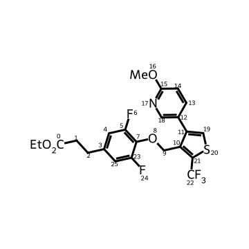 CCOC(=O)CCc1cc(F)c(OCc2c(-c3ccc(OC)nc3)csc2C(F)(F)F)c(F)c1